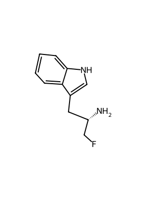 N[C@H](CF)Cc1c[nH]c2ccccc12